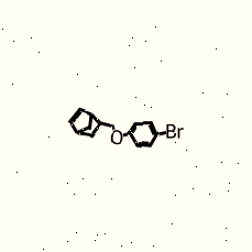 Brc1ccc(OCC2CC3C=CC2C3)cc1